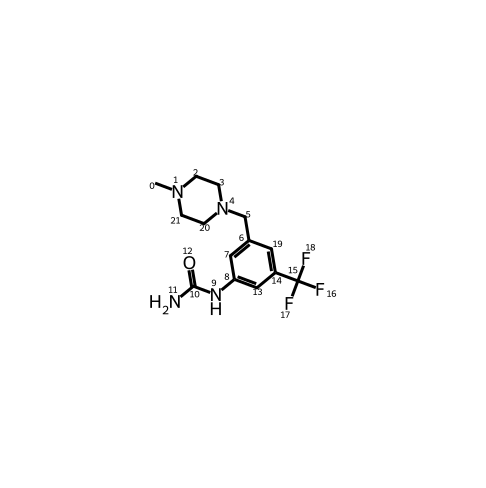 CN1CCN(Cc2cc(NC(N)=O)cc(C(F)(F)F)c2)CC1